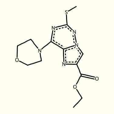 CCOC(=O)c1cn2nc(SC)nc(N3CCOCC3)c2n1